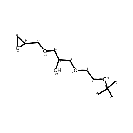 CC(C)(C)OCCOCC(O)COCC1CO1